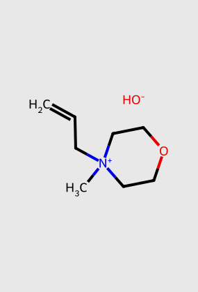 C=CC[N+]1(C)CCOCC1.[OH-]